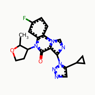 CC1OCCC1n1c(=O)c2c(-n3nncc3C3CC3)ncn2c2ccc(F)cc21